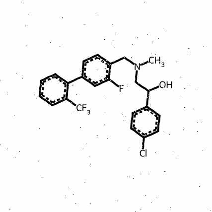 CN(Cc1ccc(-c2ccccc2C(F)(F)F)cc1F)CC(O)c1ccc(Cl)cc1